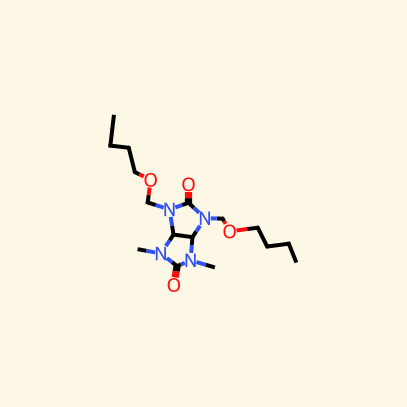 CCCCOCN1C(=O)N(COCCCC)C2C1N(C)C(=O)N2C